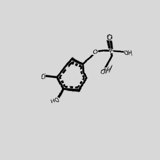 O=P(O)(O)Oc1ccc(O)c(Cl)c1